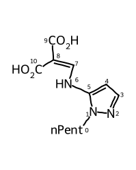 CCCCCn1nccc1NC=C(C(=O)O)C(=O)O